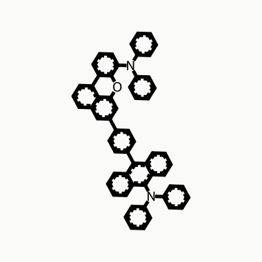 c1ccc(N(c2ccccc2)c2cccc3c2Oc2cc(-c4ccc(-c5c6ccccc6c(N(c6ccccc6)c6ccccc6)c6ccccc56)cc4)cc4cccc-3c24)cc1